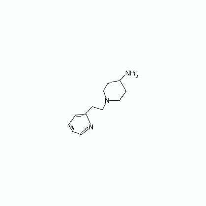 NC1CCN(CCc2ccccn2)CC1